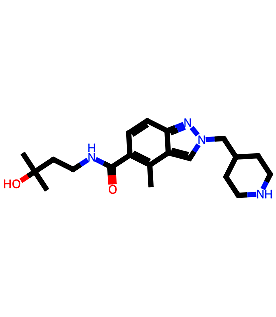 Cc1c(C(=O)NCCC(C)(C)O)ccc2nn(CC3CCNCC3)cc12